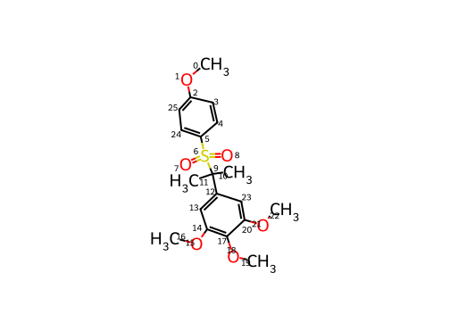 COc1ccc(S(=O)(=O)C(C)(C)c2cc(OC)c(OC)c(OC)c2)cc1